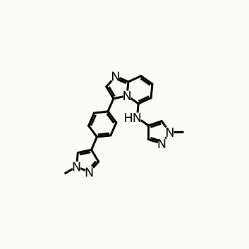 Cn1cc(Nc2cccc3ncc(-c4ccc(-c5cnn(C)c5)cc4)n23)cn1